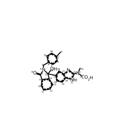 Cc1ccc(CN2C(=O)c3ccccc3C2(O)c2ccc3[nH]c(N(C)C(=O)O)nc3c2)cc1